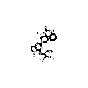 CC(C)[C@H](CO)Nc1nc(N2CCC3(CC2)c2ccccc2NC(=O)N3C)nc2c1[S+]([O-])CC2